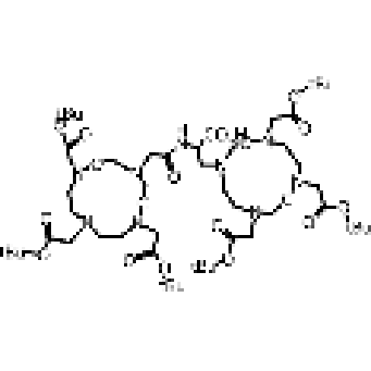 CC(C)(C)OC(=O)CN1CCN(CC(=O)N[C@H](CN2CCN(CC(=O)OC(C)(C)C)CCN(CC(=O)OC(C)(C)C)CCN(CC(=O)OC(C)(C)C)CC2)C(=O)O)CCN(CC(=O)OC(C)(C)C)CCN(CC(=O)OC(C)(C)C)CC1